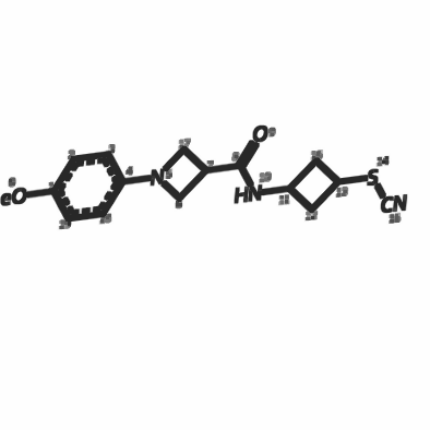 COc1ccc(N2CC(C(=O)NC3CC(SC#N)C3)C2)cc1